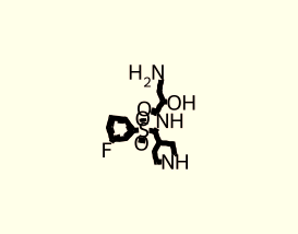 NCCC(O)C(=O)NC(C1CCNCC1)S(=O)(=O)c1cccc(F)c1